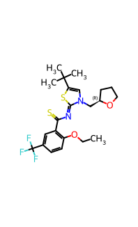 CCOc1ccc(C(F)(F)F)cc1C(=S)N=c1sc(C(C)(C)C)cn1C[C@H]1CCCO1